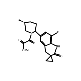 COC(=O)C(=O)N1C[C@@H](C)CCC1c1cc(F)c2c(c1)CC1(CC1)C(=O)N2